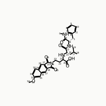 CNC(=O)[C@H](Cc1ccccc1)NC(=O)[C@H](CC(C)C)NC(CCN1C(=O)c2cc3ccc(OC)cc3cc2C1=O)C(=O)O